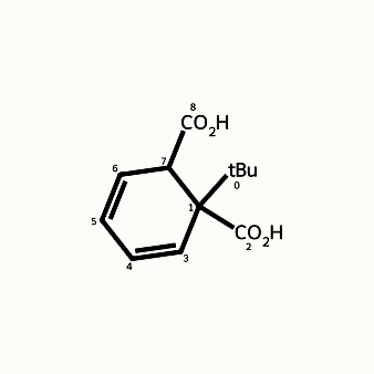 CC(C)(C)C1(C(=O)O)C=CC=CC1C(=O)O